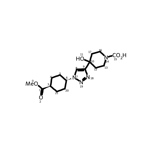 COC(=O)[C@H]1CC[C@H](n2cc(C3(O)CCN(C(=O)O)CC3)nn2)CC1